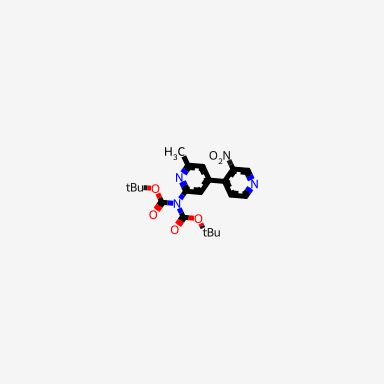 Cc1cc(-c2ccncc2[N+](=O)[O-])cc(N(C(=O)OC(C)(C)C)C(=O)OC(C)(C)C)n1